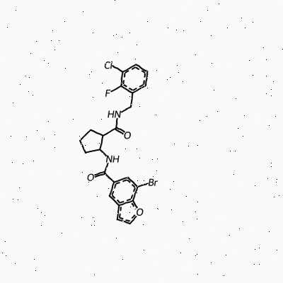 O=C(NC1CCCC1C(=O)NCc1cccc(Cl)c1F)c1cc(Br)c2occc2c1